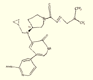 CNc1cc(-c2c[nH]c(=O)c(N(CC3CC3)[C@H]3CCN(C(=O)/C=C/CN(C)C)C3)c2)ccn1